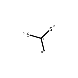 CC([S])[S]